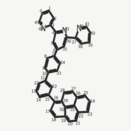 c1ccc(-c2cc(-c3ccc(-c4cccc(-c5ccc6ccc7cccc8ccc5c6c78)c4)cc3)cc(-c3ccccn3)n2)nc1